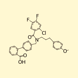 COc1ccc(CCCN(Cc2ccc(-c3ccccc3C(=O)O)cc2)C(=O)c2cc(F)c(F)cc2Cl)cc1